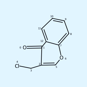 O=c1c(CCl)coc2ccccc12